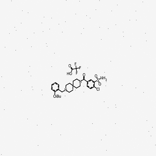 CC(C)COc1ccccc1CN1CCC2(CC1)CCN(C(=O)c1ccc(Cl)c(S(N)(=O)=O)c1)CC2.O=C(O)C(F)(F)F